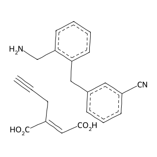 C#CC/C(=C\C(=O)O)C(=O)O.N#Cc1cccc(Cc2ccccc2CN)c1